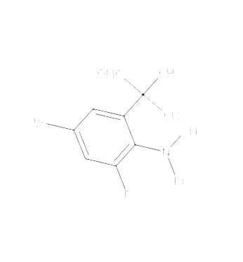 CCN(C)c1c(F)cc(Br)cc1C(C)(C)C=O